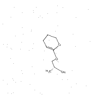 C[C@@H](O)COC1=CCCCO1